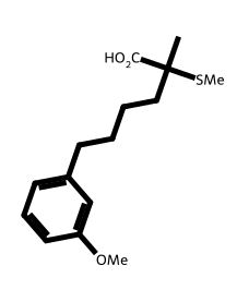 COc1cccc(CCCCC(C)(SC)C(=O)O)c1